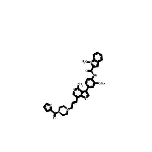 COc1cc(-c2csc3c(/C=C/CN4CCN(C(=O)c5ccco5)CC4)cnc(N)c23)ccc1NC(=O)c1cc2ccccc2n1C